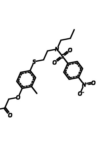 CCCN(CCSc1ccc(OCC(=O)O)c(C)c1)S(=O)(=O)c1ccc([N+](=O)[O-])cc1